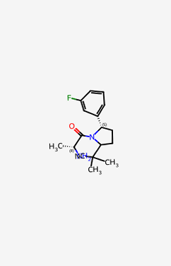 C[C@@H](N)C(=O)N1C(C(C)(C)C#N)CC[C@H]1c1cccc(F)c1